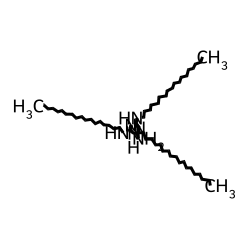 CCCCCCCCCCCCCCCCCCNC1=NC(N)(CCCCCCCCCCCCCCCCCC)NC(NCCCCCCCCCCCCCCCCCC)=N1